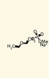 C=COC=C.COS(=O)(=O)[O-].[Na+]